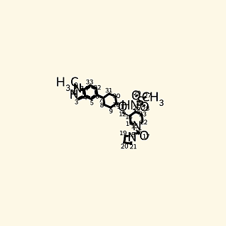 Cn1ncc2cc(C3CCC(OC[C@@H]4CN(C(=O)N5CCC5)CC[C@@H]4NS(C)(=O)=O)CC3)ccc21